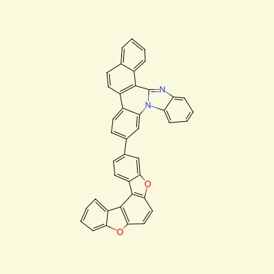 c1ccc2c(c1)ccc1c3ccc(-c4ccc5c(c4)oc4ccc6oc7ccccc7c6c45)cc3n3c4ccccc4nc3c21